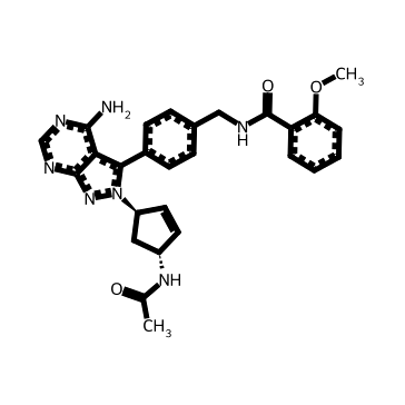 COc1ccccc1C(=O)NCc1ccc(-c2c3c(N)ncnc3nn2[C@H]2C=C[C@H](NC(C)=O)C2)cc1